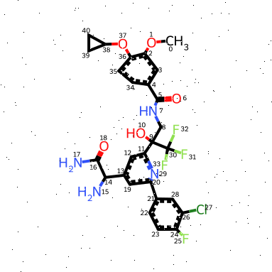 COc1cc(C(=O)NCC(O)(c2cc(C(N)C(N)=O)cc(-c3ccc(F)c(Cl)c3)n2)C(F)(F)F)ccc1OC1CC1